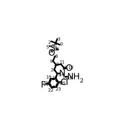 CC(C)(C)[Si](C)(C)OCCC1CC(=O)N(CN)C(c2cc(F)ccc2Cl)C1